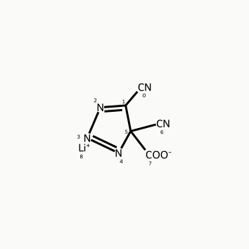 N#CC1=NN=NC1(C#N)C(=O)[O-].[Li+]